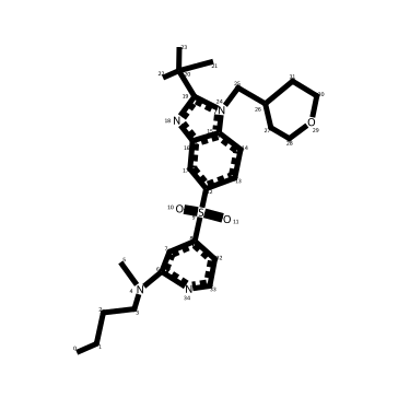 CCCCN(C)c1cc(S(=O)(=O)c2ccc3c(c2)nc(C(C)(C)C)n3CC2CCOCC2)ccn1